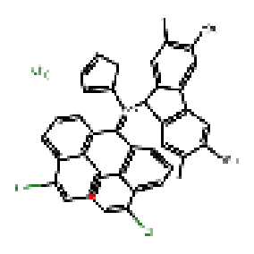 Cc1cc2c(cc1C(C)(C)C)-c1cc(C(C)(C)C)c(C)cc1[CH]2[Zr+2]([C]1=CC=CC1)=[C](c1cccc2c(Cl)cccc12)c1cccc2c(Cl)cccc12.[Cl-].[Cl-]